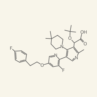 Cc1ncc(-c2ncc(OCCc3ccc(F)cc3)cc2F)c(N2CCC(C)(C)CC2)c1C(OC(C)(C)C)C(=O)O